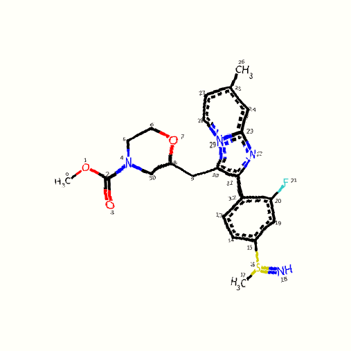 COC(=O)N1CCOC(Cc2c(-c3ccc(S(C)=N)cc3F)nc3cc(C)ccn23)C1